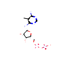 Cc1c(N)ncnc1N[C@@H]1O[C@H](COP(=O)(O)OP(=O)(O)O)[C@@H](O)[C@H]1O